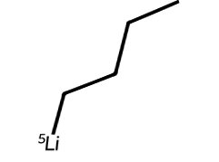 [5Li][CH2]CCC